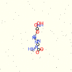 COc1cc(OC)cc(N(CCNC(C)C)c2ccc3ncc(-c4cnn(CCCOc5ccc(C(=O)NO)cc5)c4)nc3c2)c1